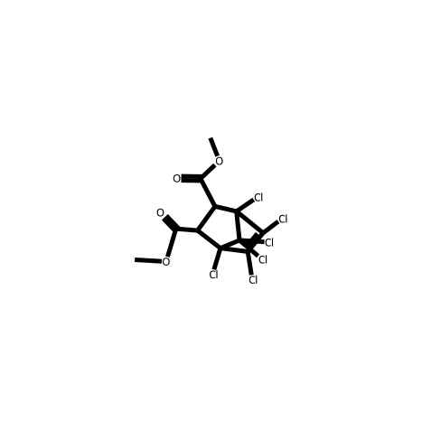 COC(=O)C1C(C(=O)OC)C2(Cl)C(Cl)=C(Cl)C1(Cl)C2(Cl)Cl